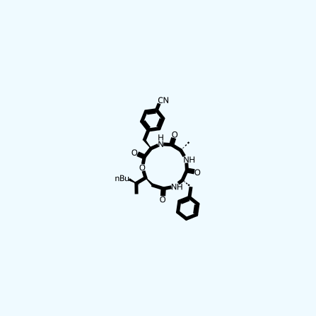 CCCC[C@H](C)[C@@H]1CC(=O)N[C@@H](CC2=CCCC=C2)C(=O)N[C@@H](C)C(=O)N[C@H](Cc2ccc(C#N)cc2)C(=O)O1